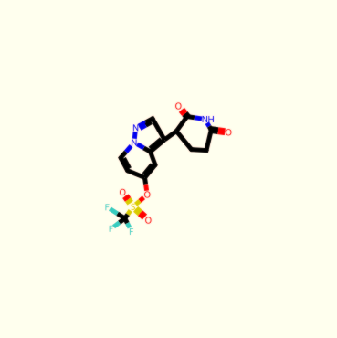 O=C1CCC(c2cnn3ccc(OS(=O)(=O)C(F)(F)F)cc23)C(=O)N1